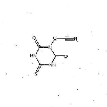 N#COn1c(=O)[nH]c(=S)[nH]c1=O